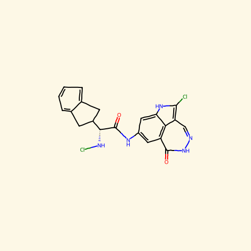 O=C1NN=Cc2c(Cl)[nH]c3cc(NC(=O)[C@H](NCl)C4Cc5ccccc5C4)cc1c23